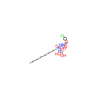 CCC=CCC=CCC=CCC=CCC=CCC=CCCC(=O)NCC(NC(=O)C(C)(C)Oc1ccc(Cl)cc1)C(=O)OCC(CO)CO